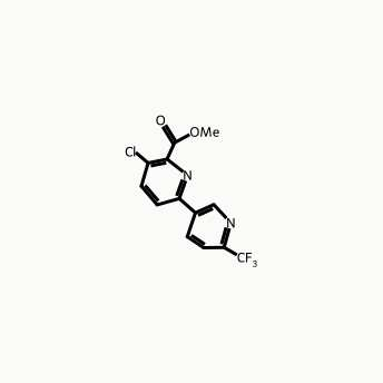 COC(=O)c1nc(-c2ccc(C(F)(F)F)nc2)ccc1Cl